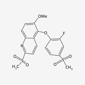 COc1ccc2nc(S(C)(=O)=O)ccc2c1Oc1ccc(S(C)(=O)=O)cc1F